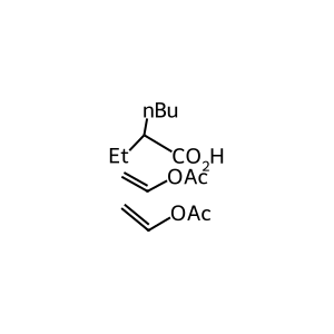 C=COC(C)=O.C=COC(C)=O.CCCCC(CC)C(=O)O